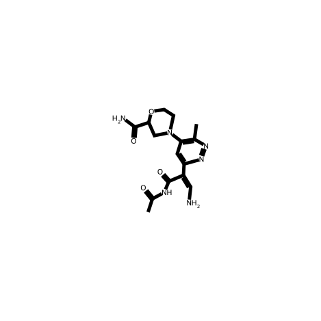 CC(=O)NC(=O)/C(=C\N)c1cc(N2CCOC(C(N)=O)C2)c(C)nn1